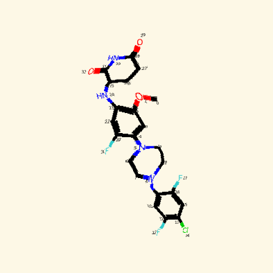 COc1cc(N2CCN(c3cc(F)c(Cl)cc3F)CC2)c(F)cc1NC1CCC(=O)NC1=O